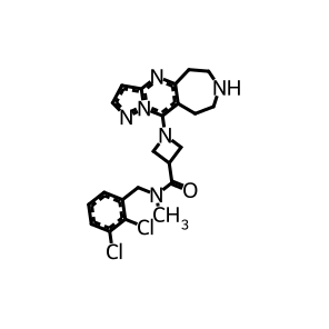 CN(Cc1cccc(Cl)c1Cl)C(=O)C1CN(c2c3c(nc4ccnn24)CCNCC3)C1